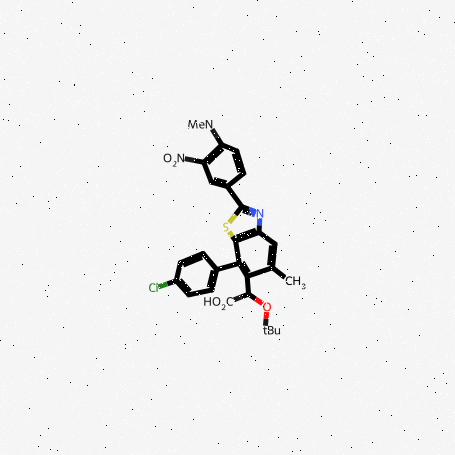 CNc1ccc(-c2nc3cc(C)c(C(OC(C)(C)C)C(=O)O)c(-c4ccc(Cl)cc4)c3s2)cc1[N+](=O)[O-]